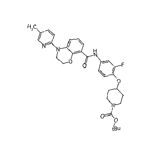 Cc1ccc(N2CCOc3c(C(=O)Nc4ccc(OC5CCN(C(=O)OC(C)(C)C)CC5)c(F)c4)cccc32)nc1